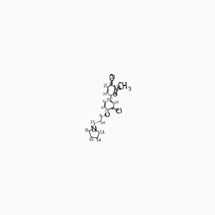 Cn1nc(-c2ccc(OCCCN3CCCC3)c(Cl)c2)ccc1=O